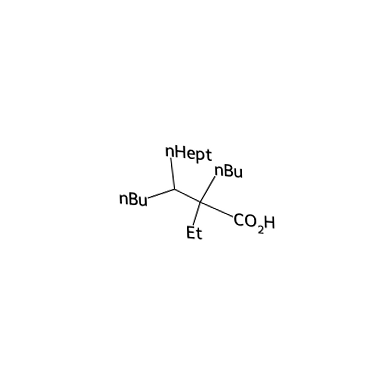 CCCCCCCC(CCCC)C(CC)(CCCC)C(=O)O